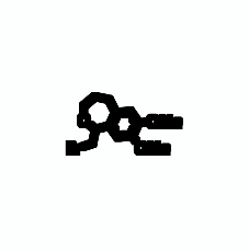 COc1cc2c(cc1OC)C(CBr)OCCC2